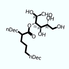 CCCCCCCCCCCCCC(CCCCCCCCCC)C(=O)O[C@@H]([C@H](O)[C@H](O)CO)[C@@H](O)C=O